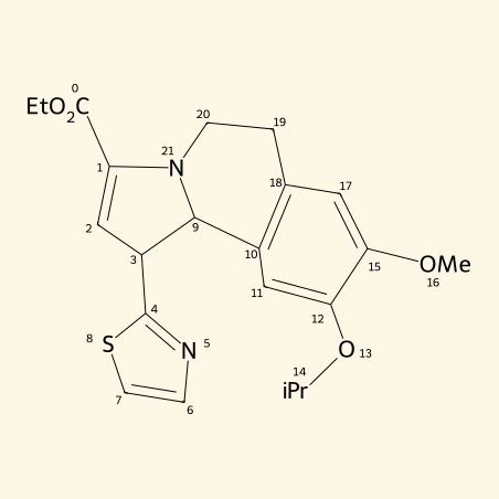 CCOC(=O)C1=CC(c2nccs2)C2c3cc(OC(C)C)c(OC)cc3CCN12